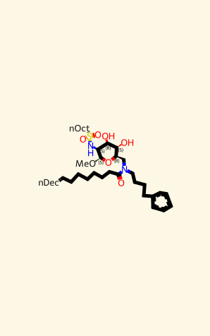 CCCCCCCCCCCCCCCCCC(=O)N(CCCCc1ccccc1)C[C@H]1O[C@H](OC)[C@@H](NS(=O)(=O)CCCCCCCC)[C@@H](O)[C@@H]1O